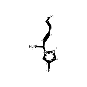 CC(C)/C=C/C#CC(N)n1cc(F)cn1